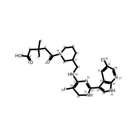 CC(C)(CC(=O)O)CC(=O)N1CCCC(CNC2=C(F)CNC(c3c[nH]c4ncc(Cl)cc34)=N2)C1